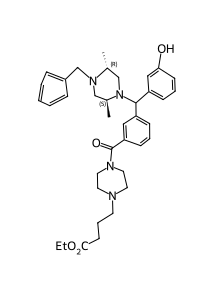 CCOC(=O)CCCN1CCN(C(=O)c2cccc(C(c3cccc(O)c3)N3C[C@@H](C)N(Cc4ccccc4)C[C@@H]3C)c2)CC1